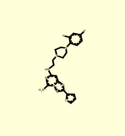 Nc1nc(NCCN2CCN(c3ccc(F)cc3F)CC2)cc2nc(-c3ccco3)nn12